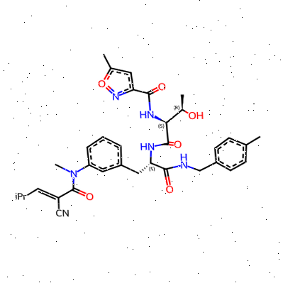 Cc1ccc(CNC(=O)[C@H](Cc2cccc(N(C)C(=O)C(C#N)=CC(C)C)c2)NC(=O)[C@@H](NC(=O)c2cc(C)on2)[C@@H](C)O)cc1